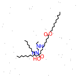 CCCCCCCCCCCOC(=O)CCCCCCCCCC(CC(CCCCCCCC)CCCCCCCC)(NCCNCC)C(=O)O